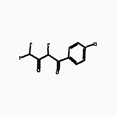 O=C(c1ccc(Cl)cc1)C(F)C(=O)C(F)F